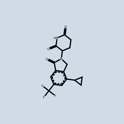 O=C1CCC(N2Cc3c(cc(C(F)(F)F)cc3C3CC3)C2=O)C(=O)N1